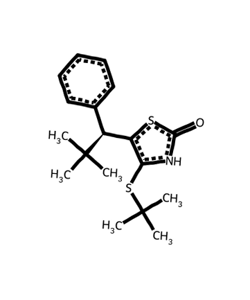 CC(C)(C)Sc1[nH]c(=O)sc1[C@H](c1ccccc1)C(C)(C)C